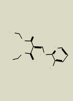 CCOC(=O)C(=CNc1ncccc1O)C(=O)OCC